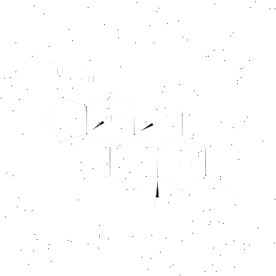 CC1=CC(=O)C[C@@H]2CC[C@H]3[C@@H]4CC[C@H](O)[C@@]4(C)CC[C@@H]3[C@@]12C